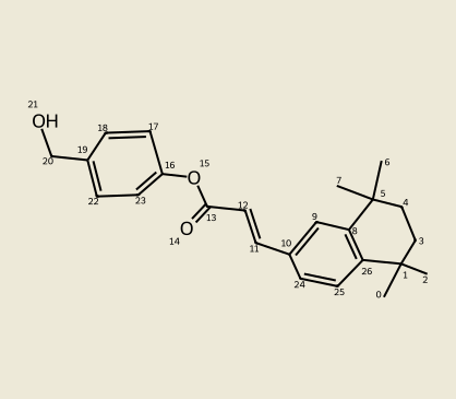 CC1(C)CCC(C)(C)c2cc(C=CC(=O)Oc3ccc(CO)cc3)ccc21